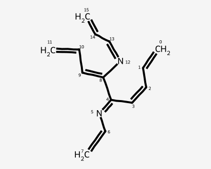 C=C\C=C/C(=N\C=C)C(=C/C=C)/N=C\C=C